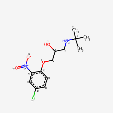 CC(C)(C)NCC(O)COc1ccc(Cl)cc1[N+](=O)[O-]